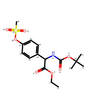 CCOC(=O)C(NC(=O)OC(C)(C)C)c1ccc(OS(C)(=O)=O)cc1